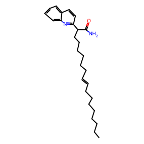 CCCCCCCCC=CCCCCCCC(C(N)=O)c1ccc2ccccc2n1